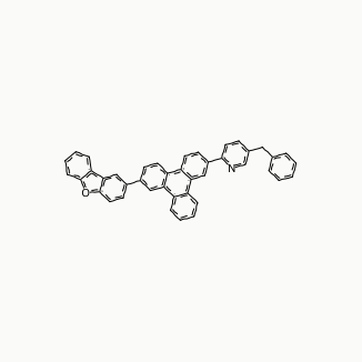 c1ccc(Cc2ccc(-c3ccc4c5ccc(-c6ccc7oc8ccccc8c7c6)cc5c5ccccc5c4c3)nc2)cc1